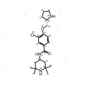 CC1(C)CC(NC(=O)c2ccc(OC[C@@H]3CCCN3)c(Cl)c2)CC(C)(C)N1